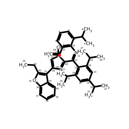 C=Cc1cccc(C(C)C)c1N=C(c1c(C(C)C)cc(C(C)C)cc1C(C)C)c1nc(-c2c(CC)oc3ccccc23)cn1C